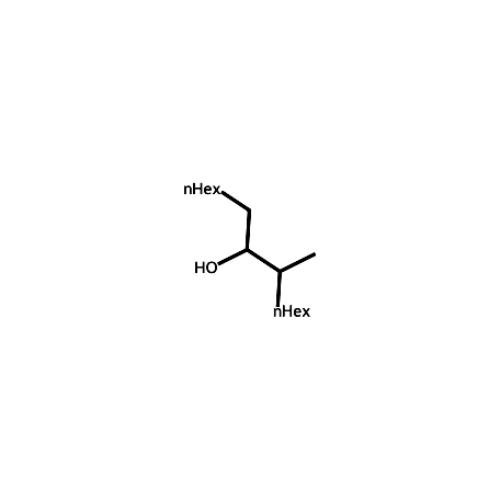 CCCCCCCC(O)C(C)CCCCCC